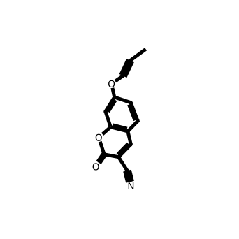 CC#COc1ccc2cc(C#N)c(=O)oc2c1